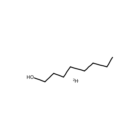 CCCCCCCCO.[2H]